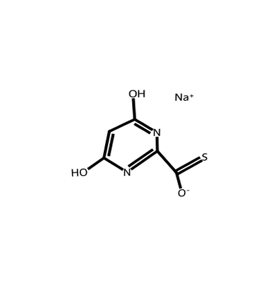 [Na+].[O-]C(=S)c1nc(O)cc(O)n1